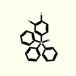 Fc1ccc(P(Br)(c2ccccc2)(c2ccccc2)c2ccccc2)cc1F